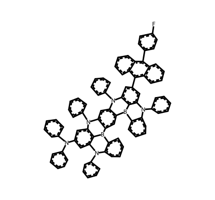 Fc1ccc(-c2c3ccccc3c(-c3cc4c5c(c3)N(c3ccccc3)c3cc6c(cc3B5c3ccccc3N4c3ccccc3)B3c4ccccc4N(c4ccccc4)c4cc(N(c5ccccc5)c5ccccc5)cc(c43)N6c3ccccc3)c3ccccc23)cc1